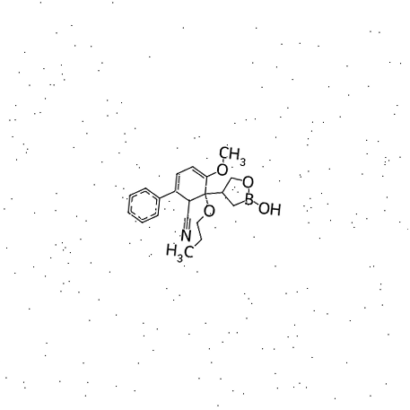 CCCOC1(C2COB(O)C2)C(OC)=CC=C(c2ccccc2)C1C#N